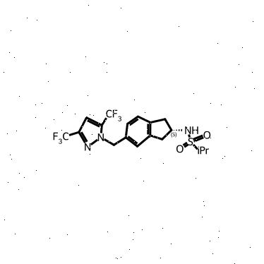 CC(C)S(=O)(=O)N[C@H]1Cc2ccc(Cn3nc(C(F)(F)F)cc3C(F)(F)F)cc2C1